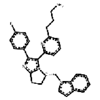 NCCCc1nccc(-c2c(-c3ccc(F)cc3)nc3n2[C@H](Cn2ccc4ccccc42)CC3)n1